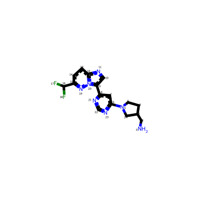 NCC1CCN(c2cc(-c3cnc4ccc(C(F)F)nn34)ncn2)C1